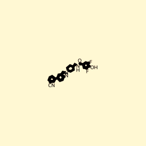 N#Cc1cccc(-c2ccc3nn(C4CCC(CNC(=O)c5cc(F)c(O)c(F)c5)CC4)cc3c2)c1